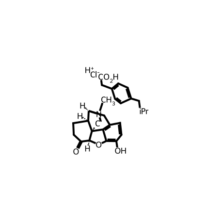 CC(C)Cc1ccc(CC(=O)O)cc1.CN1CC[C@]23c4c5ccc(O)c4O[C@H]2C(=O)CC[C@H]3[C@H]1C5.[Cl-].[H+]